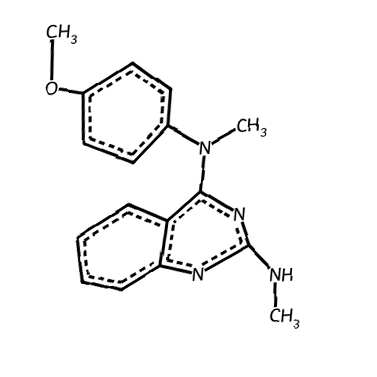 CNc1nc(N(C)c2ccc(OC)cc2)c2ccccc2n1